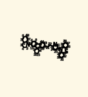 C1=CC2CCCN(c3ccc4c(c3)C3(CCCC3)c3cc(/C=C/c5ccc(N6c7ccccc7Sc7ccccc76)cn5)ccc3-4)C2C=C1